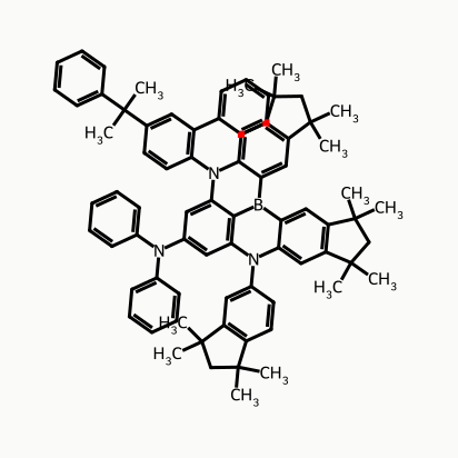 CC1(C)CC(C)(C)c2cc(N3c4cc5c(cc4B4c6cc7c(cc6N(c6ccc(C(C)(C)c8ccccc8)cc6-c6ccccc6)c6cc(N(c8ccccc8)c8ccccc8)cc3c64)C(C)(C)CC7(C)C)C(C)(C)CC5(C)C)ccc21